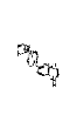 c1cnc(N2CCN(c3ccc4c(n3)OCCNC4)CC2)nc1